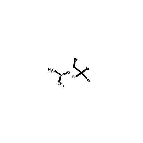 BrCC(Br)(Br)Br.C[S+](C)[O-]